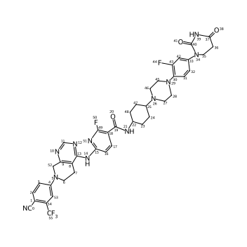 N#Cc1ccc(N2CCc3c(ncnc3Nc3ccc(C(=O)NC4CCC(N5CCN(c6ccc(N7CCC(=O)NC7=O)cc6F)CC5)CC4)c(F)n3)C2)cc1C(F)(F)F